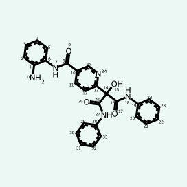 Nc1ccccc1NC(=O)c1ccc(C(O)(C(=O)Nc2ccccc2)C(=O)Nc2ccccc2)nc1